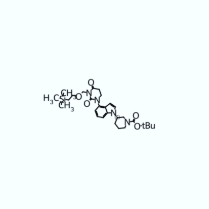 CC(C)(C)OC(=O)N1CCC[C@H](n2ccc3c(N4CCC(=O)N(COCC[Si](C)(C)C)C4=O)cccc32)C1